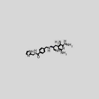 N=C/C(=C\NCc1ccc(C(=O)NCc2ncc[nH]2)cc1)Cc1cc(N)nc(NN)c1N